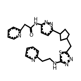 O=C(Cc1ccccn1)Nc1ccc(C2CCC(Cc3nnc(NCCc4ccccn4)s3)C2)nn1